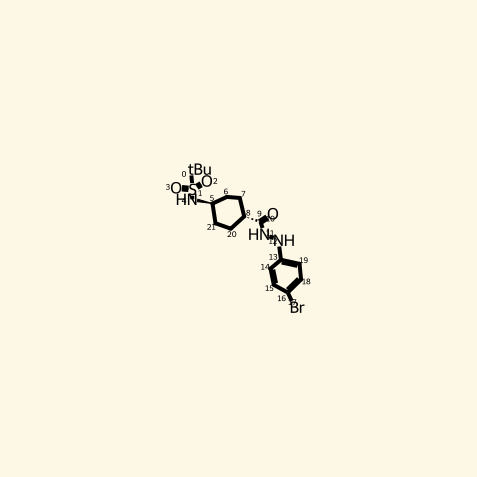 CC(C)(C)S(=O)(=O)N[C@H]1CC[C@H](C(=O)NNc2ccc(Br)cc2)CC1